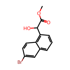 COC(=O)C(O)c1cccc2cc(Br)ccc12